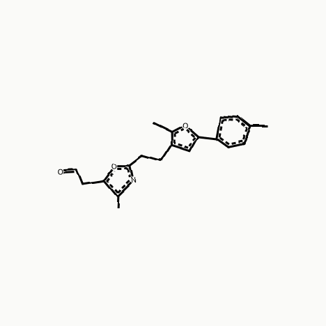 Cc1ccc(-c2cc(CCc3nc(C)c(CC=O)o3)c(C)o2)cc1